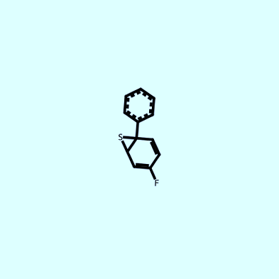 FC1=CC2SC2(c2ccccc2)C=C1